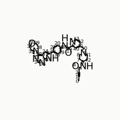 CC#CC(=O)NC1CCN(Cc2ccnc(C(=O)Nc3ccc(-c4cc5c(N6CCOCC6)ncnc5[nH]4)cc3)c2)CC1